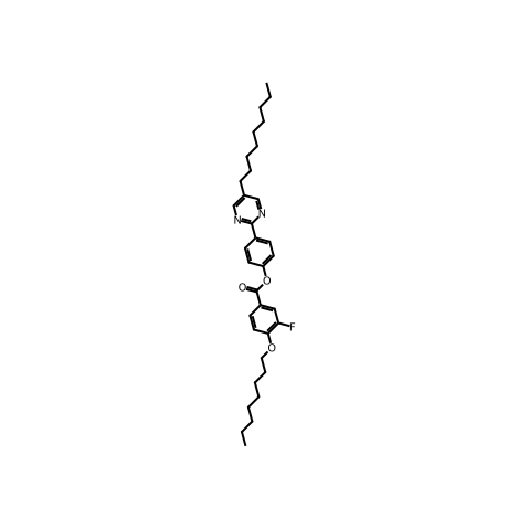 CCCCCCCCCc1cnc(-c2ccc(OC(=O)c3ccc(OCCCCCCCC)c(F)c3)cc2)nc1